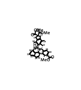 COC(=O)c1ccc(CN2B(c3c(C)c(C)c4c(c3C)CC(C(=O)OC)(C(=O)OC)C4)Nc3cccc4cccc2c34)cc1